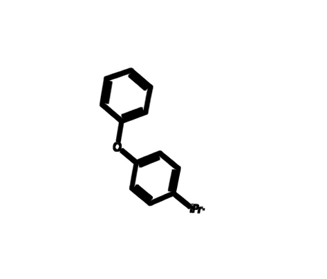 C[C](C)c1ccc(Oc2ccccc2)cc1